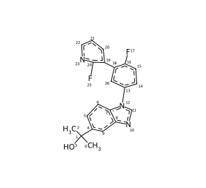 CC(C)(O)c1ccc2c(c1)ncn2-c1ccc(F)c(-c2cccnc2F)c1